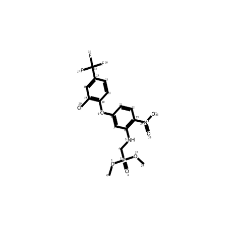 COP(=O)(CNc1cc(Oc2ccc(C(F)(F)F)cc2Cl)ccc1[N+](=O)[O-])OC